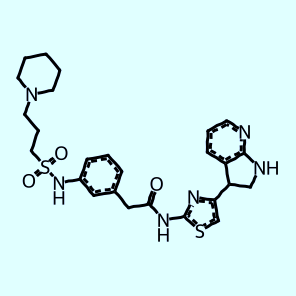 O=C(Cc1cccc(NS(=O)(=O)CCCN2CCCCC2)c1)Nc1nc(C2CNc3ncccc32)cs1